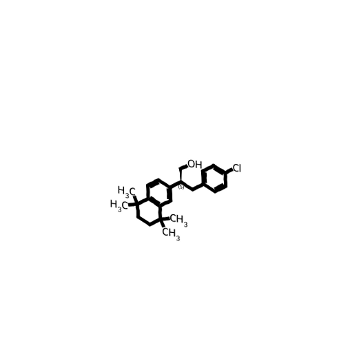 CC1(C)CCC(C)(C)c2cc([C@@H](CO)Cc3ccc(Cl)cc3)ccc21